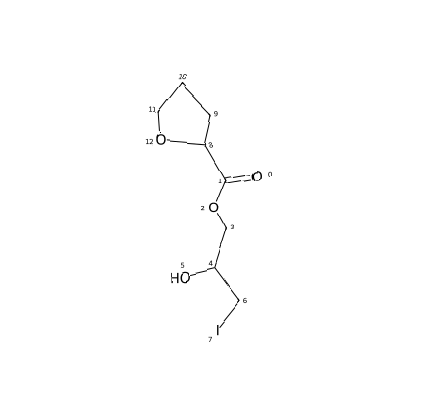 O=C(OCC(O)CI)C1CCCO1